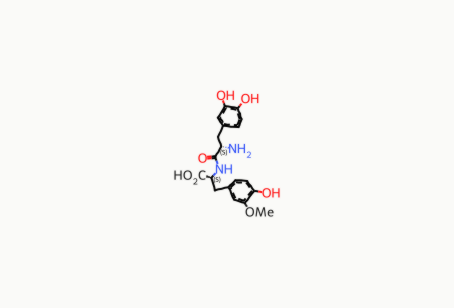 COc1cc(C[C@H](NC(=O)[C@@H](N)Cc2ccc(O)c(O)c2)C(=O)O)ccc1O